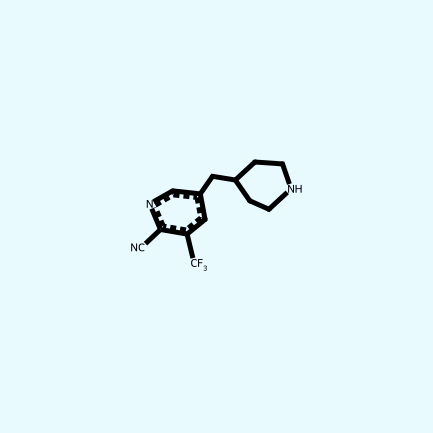 N#Cc1ncc(CC2CCNCC2)cc1C(F)(F)F